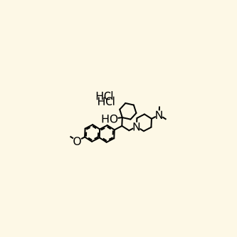 COc1ccc2cc(C(CN3CCC(N(C)C)CC3)C3(O)CCCCC3)ccc2c1.Cl.Cl